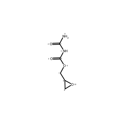 NC(=O)NC(=O)OCC1CO1